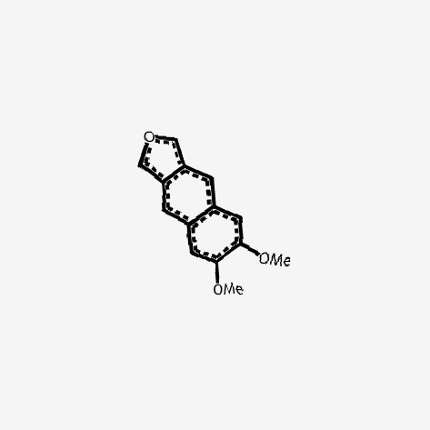 COc1cc2cc3cocc3cc2cc1OC